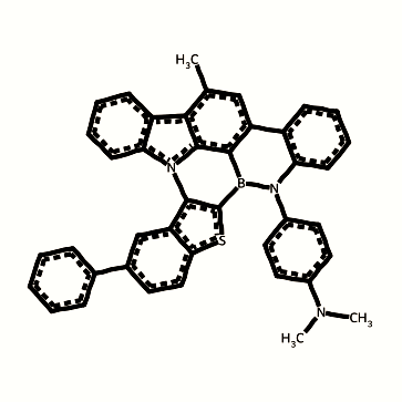 Cc1cc2c3c4c1c1ccccc1n4-c1c(sc4ccc(-c5ccccc5)cc14)B3N(c1ccc(N(C)C)cc1)c1ccccc1-2